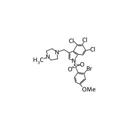 COc1ccc(S(=O)(=O)n2cc(CN3CCN(C)CC3)c3c(Cl)c(Cl)c(Cl)cc32)c(Br)c1